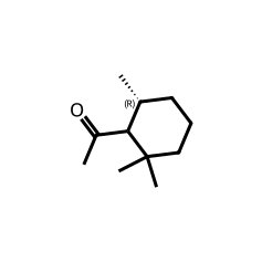 CC(=O)C1[C@H](C)CCCC1(C)C